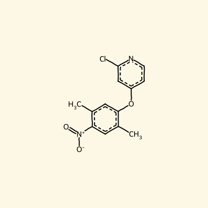 Cc1cc([N+](=O)[O-])c(C)cc1Oc1ccnc(Cl)c1